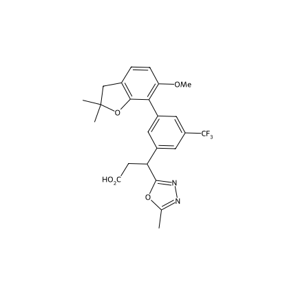 COc1ccc2c(c1-c1cc(C(CC(=O)O)c3nnc(C)o3)cc(C(F)(F)F)c1)OC(C)(C)C2